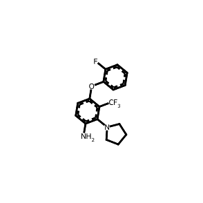 Nc1ccc(Oc2ccccc2F)c(C(F)(F)F)c1N1CCCC1